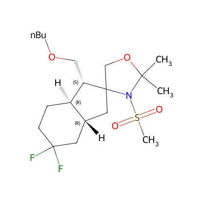 CCCCOC[C@H]1[C@@H]2CCC(F)(F)C[C@H]2CC12COC(C)(C)N2S(C)(=O)=O